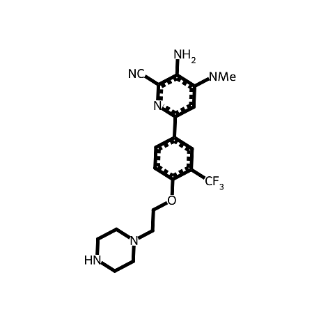 CNc1cc(-c2ccc(OCCN3CCNCC3)c(C(F)(F)F)c2)nc(C#N)c1N